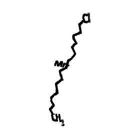 CCCCCCCCCCCCCCCCCl.[Mn]